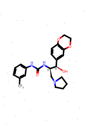 O=C(Nc1cccc(C(F)(F)F)c1)N[C@H](CN1CCCC1)[C@H](O)c1ccc2c(c1)OCCO2